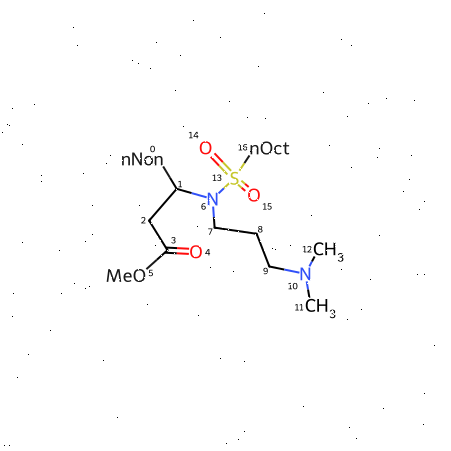 CCCCCCCCCC(CC(=O)OC)N(CCCN(C)C)S(=O)(=O)CCCCCCCC